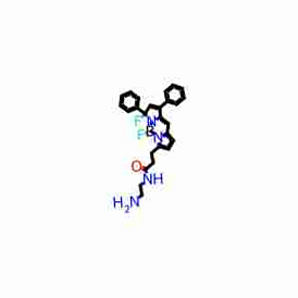 NCCNC(=O)CCc1ccc2n1B(F)N1C(=C2)C(c2ccccc2)=CC1(F)c1ccccc1